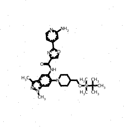 Cc1nn(C)c2cc(N3CCC(CO[Si](C)(C)C(C)(C)C)CC3)c(NC(=O)c3coc(-c4ccnc(N)c4)n3)cc12